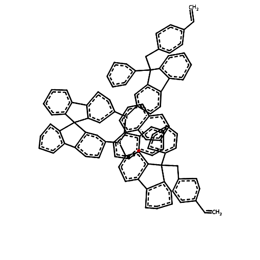 C=Cc1ccc(CC2(c3ccccc3)c3ccccc3-c3ccc(N(c4ccc5c(c4)C4(c6ccccc6-5)c5ccccc5-c5ccc(N(c6ccc7c(c6)C(Cc6ccc(C=C)cc6)(c6ccccc6)c6ccccc6-7)c6cccc7ccccc67)cc54)c4cccc5ccccc45)cc32)cc1